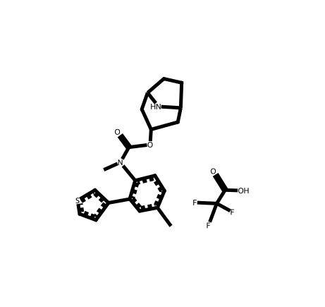 Cc1ccc(N(C)C(=O)OC2CC3CCC(C2)N3)c(-c2ccsc2)c1.O=C(O)C(F)(F)F